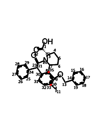 O=C(O)[C@@H]1CCCC(CC(CI)OCc2ccccc2)N1C(=O)C(c1ccccc1)c1ccccc1